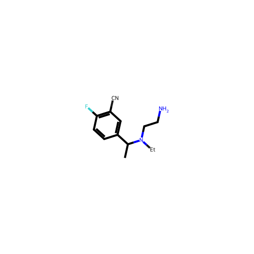 CCN(CCN)C(C)c1ccc(F)c(C#N)c1